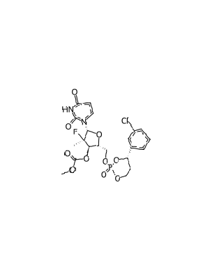 COC(=O)O[C@@H]1[C@@H](COP2(=O)OCC[C@@H](c3cccc(Cl)c3)O2)O[C@@H](n2ccc(=O)[nH]c2=O)[C@]1(C)F